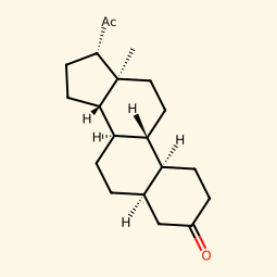 CC(=O)[C@H]1CC[C@H]2[C@@H]3CC[C@@H]4CC(=O)CC[C@@H]4[C@H]3CC[C@]12C